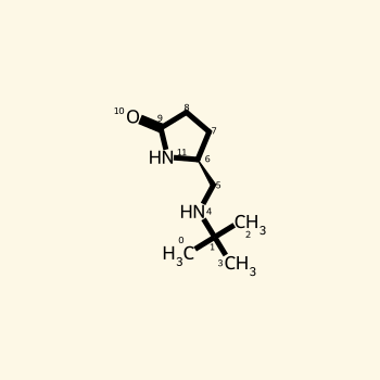 CC(C)(C)NC[C@@H]1CCC(=O)N1